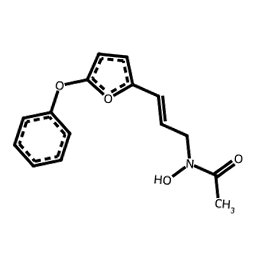 CC(=O)N(O)CC=Cc1ccc(Oc2ccccc2)o1